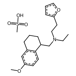 CCN(CCc1ccco1)CC1CCCc2cc(OC)ccc21.CS(=O)(=O)O